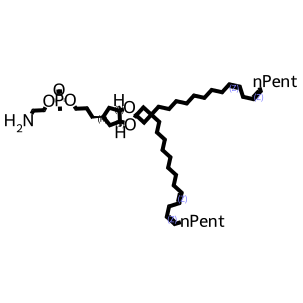 CCCCC/C=C\C/C=C\CCCCCCCCC1(CCCCCCCC/C=C\C/C=C\CCCCC)CC2(C1)O[C@H]1C[C@@H](CCCOP(C)(=O)OCCN)C[C@H]1O2